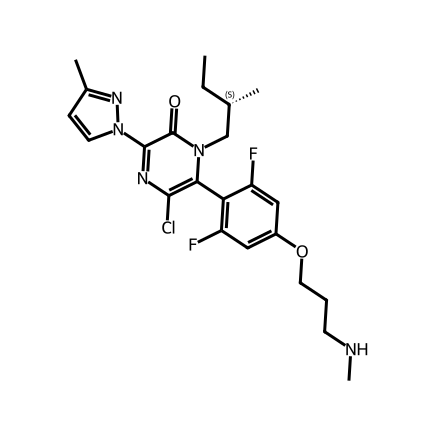 CC[C@H](C)Cn1c(-c2c(F)cc(OCCCNC)cc2F)c(Cl)nc(-n2ccc(C)n2)c1=O